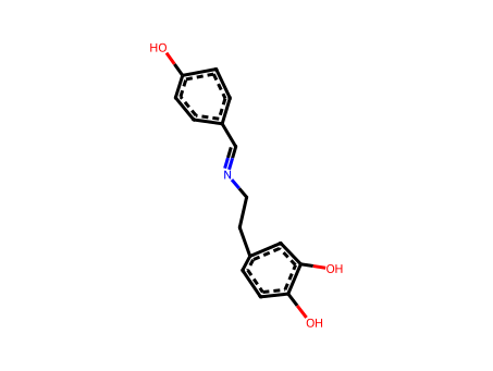 Oc1ccc(/C=N/CCc2ccc(O)c(O)c2)cc1